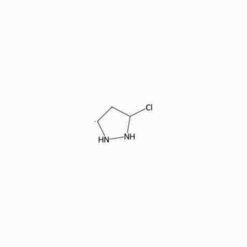 ClC1C[CH]NN1